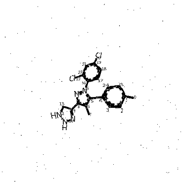 Cc1ccc(-c2c(C)c(C3=NNNC3)nn2-c2ccc(Cl)cc2Cl)cc1